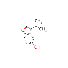 CC(C)c1coc2ccc(O)cc12